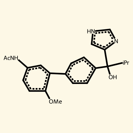 COc1ccc(NC(C)=O)cc1-c1ccc(C(O)(c2c[nH]cn2)C(C)C)cc1